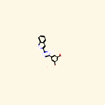 O=C(O)c1cc(C(=O)O)cc(-c2cnc(-c3cc4ccccc4cn3)[nH]2)c1